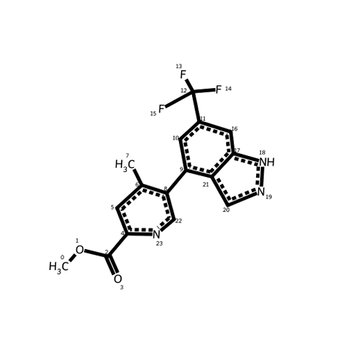 COC(=O)c1cc(C)c(-c2cc(C(F)(F)F)cc3[nH]ncc23)cn1